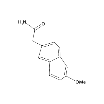 COc1ccc2cc(CC(N)=O)ccc2c1